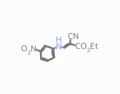 CCOC(=O)C(C#N)=CNc1cccc([N+](=O)[O-])c1